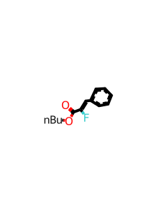 CCCCOC(=O)/C(F)=C/c1ccccc1